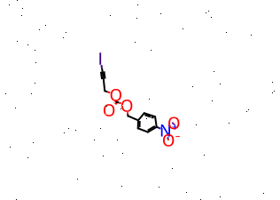 O=C(OCC#CI)OCc1ccc([N+](=O)[O-])cc1